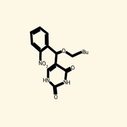 CCC(C)COC(c1ccccc1[N+](=O)[O-])c1c[nH]c(=O)[nH]c1=O